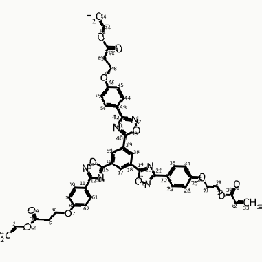 C=COC(=O)CCOc1ccc(-c2noc(-c3cc(-c4nc(-c5ccc(OCCOC(=O)C=C)cc5)no4)cc(-c4nc(-c5ccc(OCCC(=O)OC=C)cc5)no4)c3)n2)cc1